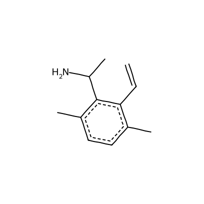 C=Cc1c(C)ccc(C)c1C(C)N